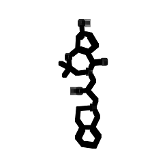 CC1(C)CN(CC(O)CN2CCc3ccccc3C2)C(=O)c2ccc(O)cc2O1